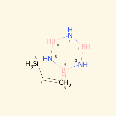 B1NBNBN1.C=C[SiH3]